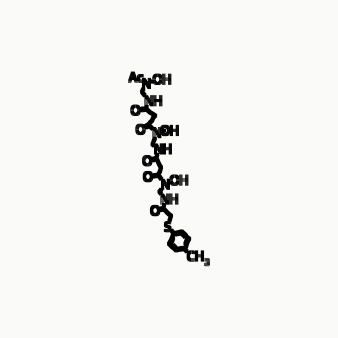 CC(=O)N(O)CNC(=O)CC(=O)N(O)CNC(=O)CC(=O)N(O)CNC(=O)CSc1ccc(C)cc1